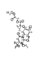 COC(=O)COC(=O)C1(Oc2cc(-n3c(=O)cc(C(F)(F)F)n(C)c3=O)c(F)cc2Cl)CC1